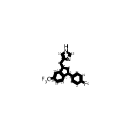 Fc1ccc(C2CC(Cc3c[nH]cn3)c3cc(C(F)(F)F)ccc32)cc1